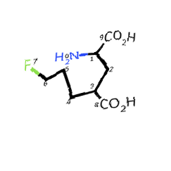 NC(CC(CCCF)C(=O)O)C(=O)O